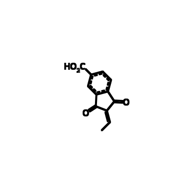 CC=C1C(=O)c2ccc(C(=O)O)cc2C1=O